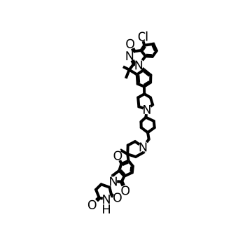 CC1(C)c2cc(C3CCN(C4CCC(CN5CCC6(CC5)COc5c6ccc6c5CN([C@H]5CCC(=O)NC5=O)C6=O)CC4)CC3)ccc2-n2c1nc(=O)c1c(Cl)cccc12